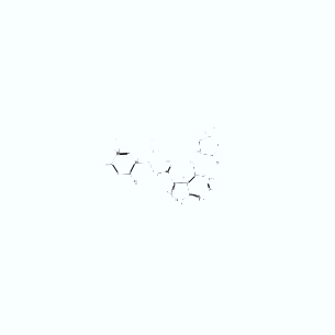 O=C(N[C@H](CO)c1cc(F)ccc1F)c1n[nH]c2ncnc(N[C@H]3C[C@H](F)C[C@@H]3O)c12